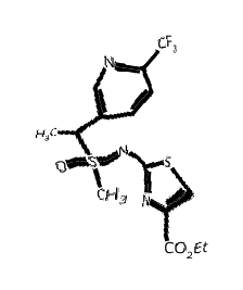 CCOC(=O)c1csc(N=S(C)(=O)C(C)c2ccc(C(F)(F)F)nc2)n1